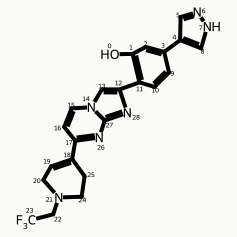 Oc1cc(-c2cn[nH]c2)ccc1-c1cn2ccc(C3=CCN(CC(F)(F)F)CC3)nc2n1